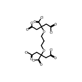 O=C(Cl)CC(CC(=O)Cl)(OCCCOC(CC(=O)Cl)(CC(=O)Cl)C(=O)Cl)C(=O)Cl